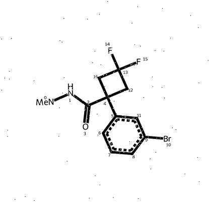 CNNC(=O)C1(c2cccc(Br)c2)CC(F)(F)C1